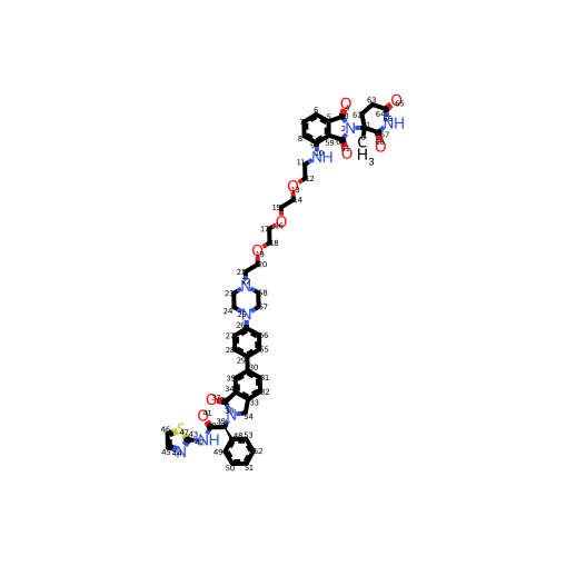 CC1(N2C(=O)c3cccc(NCCOCCOCCOCCN4CCN(c5ccc(-c6ccc7c(c6)C(=O)N([C@H](C(=O)Nc6nccs6)c6ccccc6)C7)cc5)CC4)c3C2=O)CCC(=O)NC1=O